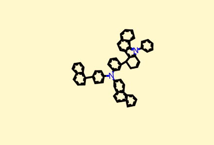 C1=Cc2c(c3ccc4ccccc4c3n2-c2ccccc2)C(c2cccc(N(c3ccc(-c4cccc5ccccc45)cc3)c3ccc4c(ccc5ccccc54)c3)c2)C1